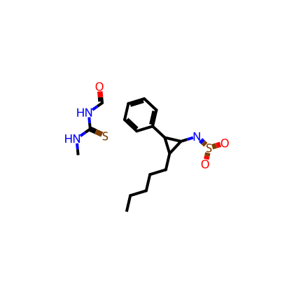 CCCCCC1C(N=S(=O)=O)C1c1ccccc1.CNC(=S)NC=O